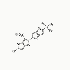 CCOC(=O)c1c(-c2cc3sc([Si](C(C)C)(C(C)C)C(C)C)cc3s2)sc2cc(Cl)sc12